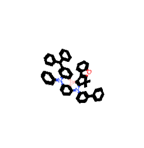 CC1(C)C2=C(B3c4ccc(C(c5ccccc5)c5ccccc5)cc4N(c4ccccc4)c4cccc(c43)N2c2cccc(-c3ccccc3)c2)c2c1oc1ccccc21